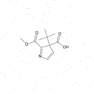 COC(=O)C1=NC=CC1(C(=O)O)C(C)(C)C